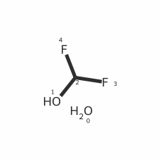 O.OC(F)F